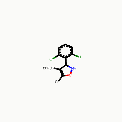 CCOC(=O)C1=C(C(C)C)ONC1c1c(Cl)cccc1Cl